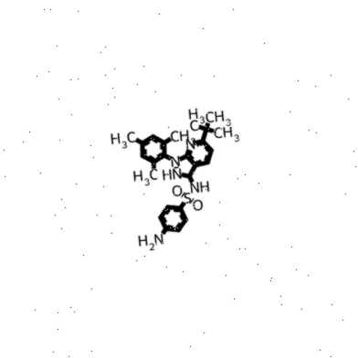 Cc1cc(C)c(N2NC(NS(=O)(=O)c3ccc(N)cc3)c3ccc(C(C)(C)C)nc32)c(C)c1